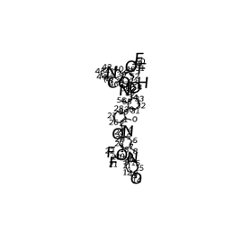 Cc1c(-c2nc3cc(CN4CC5CC(=O)CC4C5)c(OC(F)F)cc3o2)cccc1-c1cccc(-c2nc3cc(CN4CCC[C@H]4C(=O)O)c(OC(F)F)cc3o2)c1C